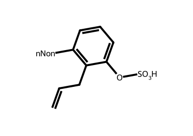 C=CCc1c(CCCCCCCCC)cccc1OS(=O)(=O)O